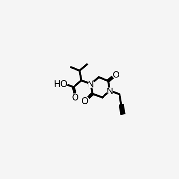 C#CCN1CC(=O)N(C(C(=O)O)C(C)C)CC1=O